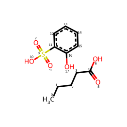 CCCCC(=O)O.O=S(=O)(O)c1ccccc1O